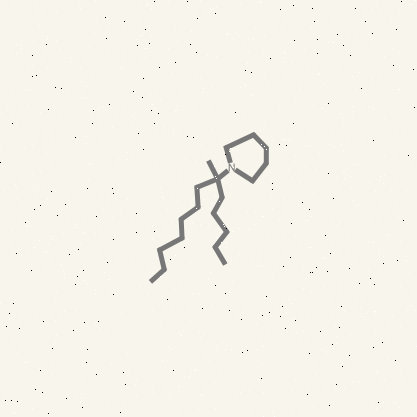 CCCCCCCC(C)(CCCCC)N1CCCCC1